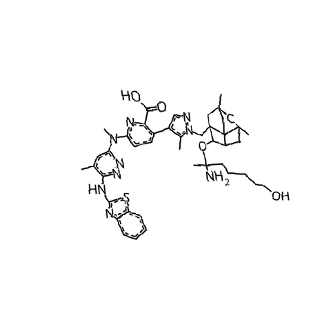 Cc1cc(N(C)c2ccc(-c3cnn(CC45CC6(C)CC(CC(C)(C6)C4)C5OC(C)(N)CCCCCO)c3C)c(C(=O)O)n2)nnc1Nc1nc2ccccc2s1